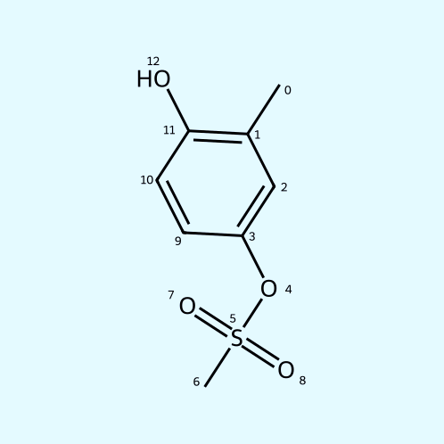 Cc1cc(OS(C)(=O)=O)ccc1O